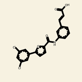 O=C(O)C=Cc1cccc(NC(=O)c2ccc(-c3cc(Cl)cc(Cl)c3)o2)c1